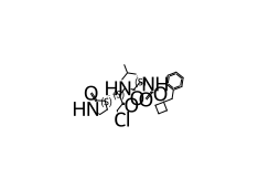 CC(C)C[C@H](NC(=O)OC1(Cc2ccccc2)CCC1)C(=O)N[C@@H](C[C@@H]1CCNC1=O)C(=O)CCl